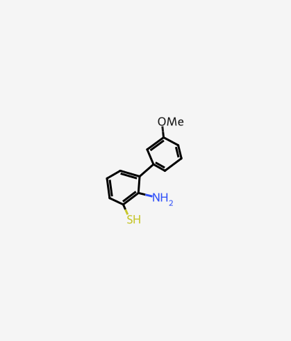 COc1cccc(-c2cccc(S)c2N)c1